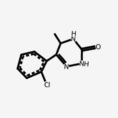 CC1NC(=O)NN=C1c1ccccc1Cl